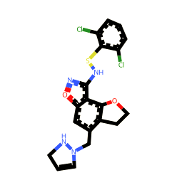 Clc1cccc(Cl)c1SNc1noc2cc(CN3C=CCN3)c3c(c12)OCC3